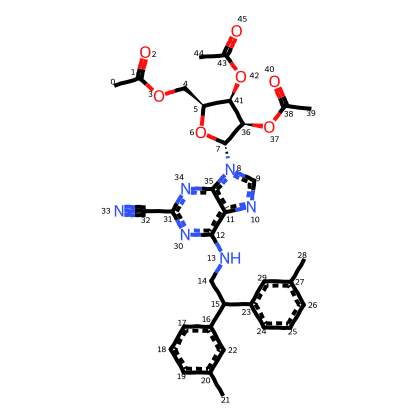 CC(=O)OC[C@@H]1O[C@@H](n2cnc3c(NCC(c4cccc(C)c4)c4cccc(C)c4)nc(C#N)nc32)[C@H](OC(C)=O)[C@@H]1OC(C)=O